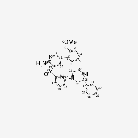 COCc1ccccc1-c1cnc(N)c(C(=O)c2cccc(N3CCNC(c4ccccc4)C3)n2)c1